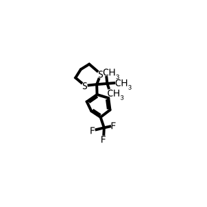 CC(C)(C)C1(c2ccc(C(F)(F)F)cc2)SCCCS1